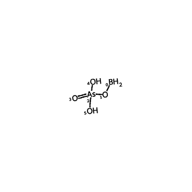 BO[As](=O)(O)O